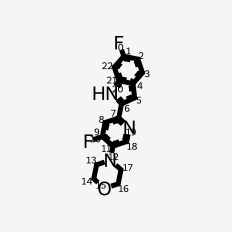 Fc1ccc2cc(-c3cc(F)c(N4CCOCC4)cn3)[nH]c2c1